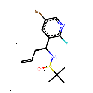 C=CC[C@H](N[S@+]([O-])C(C)(C)C)c1cc(Br)cnc1F